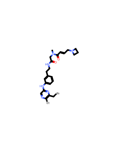 CCc1ncc(Nc2cccc(CCNC(=O)CN(C)C(=O)/C=C/CN3CCC3)c2)nc1CC(C)C